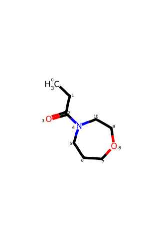 CCC(=O)N1CCCOCC1